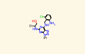 CCC(CO)Nc1nc(NCc2c(N)cccc2Cl)c2nnn(C(C)C)c2n1